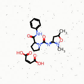 CC1CC(=NC(=O)N2CCCC2C(=O)Nc2ccccc2)N(C)O1.O=C(O)/C=C\C(=O)O